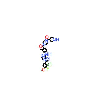 COc1ccc(-c2cnc3c(Nc4ccc(C(=O)N5CCN(C(=O)C6CCNCC6)CC5)c(C)c4)nccn23)c(Cl)c1F